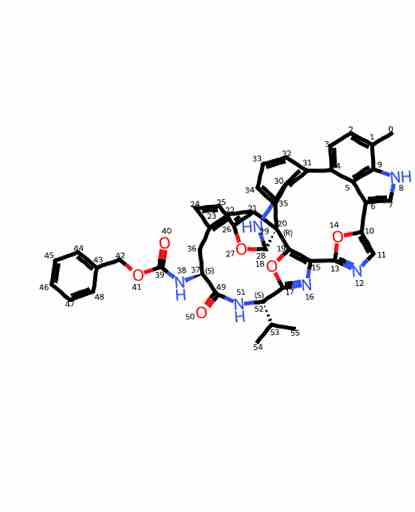 Cc1ccc2c3c(c[nH]c13)-c1cnc(o1)-c1nc3oc1[C@]14c5cc(ccc5OC1Nc1c-2cccc14)C[C@H](NC(=O)OCc1ccccc1)C(=O)N[C@H]3C(C)C